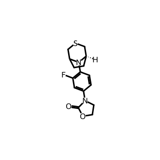 O=C1OCCN1c1ccc(N2C3CC[C@@H]2CSC3)c(F)c1